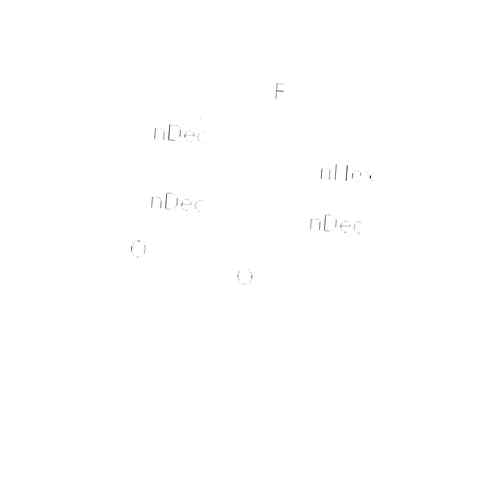 C=C(C)C(=O)OC(CCCCCCCCCC)(CCCCCCCCCC)C(F)(CCCCCC)CCCCCCCCCC